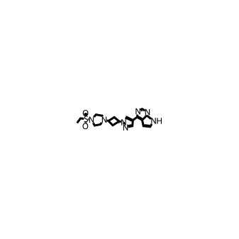 CCS(=O)(=O)N1CCN(C2C[C](n3cc(-c4ncnc5[nH]ccc45)cn3)C2)CC1